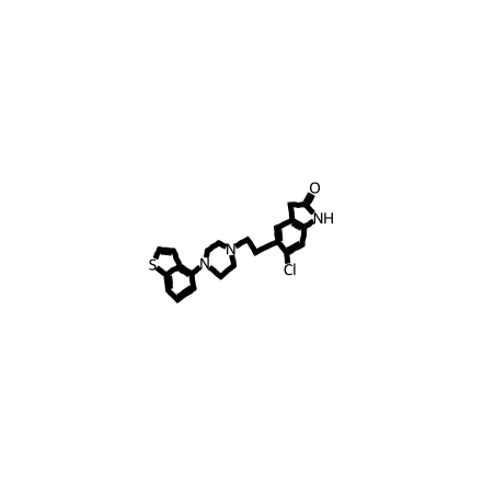 O=C1Cc2cc(CCN3CCN(c4cccc5sccc45)CC3)c(Cl)cc2N1